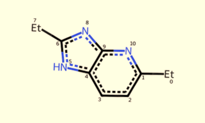 CCc1ccc2[nH]c(CC)nc2n1